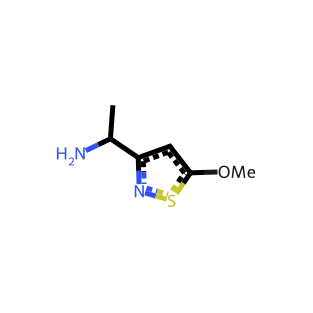 COc1cc(C(C)N)ns1